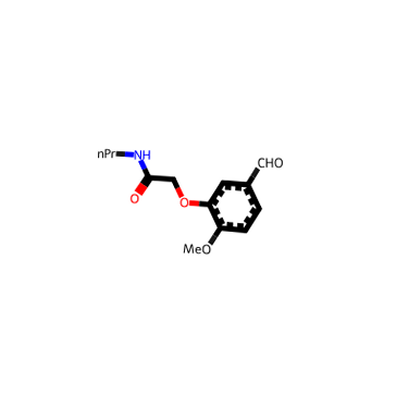 CCCNC(=O)COc1cc(C=O)ccc1OC